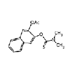 CC(=O)Oc1cc2ccccc2cc1OC(=S)N(C)C